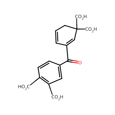 O=C(C1=CC(C(=O)O)(C(=O)O)CC=C1)c1ccc(C(=O)O)c(C(=O)O)c1